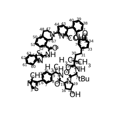 Cc1ncsc1-c1ccc([C@H](C)NC(=O)[C@@H]2C[C@@H](O)CN2C(=O)[C@@H](NC(=O)C(C)(C)CCc2ccc(Oc3cccc(-c4ccc(N5CCc6cccc(C(=O)Nc7nc8ccccc8s7)c6C5)nc4C(=O)O)c3C)cc2)C(C)(C)C)cc1